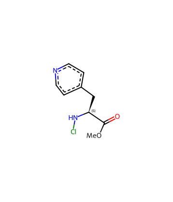 COC(=O)[C@H](Cc1ccncc1)NCl